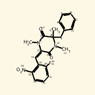 CN1C(=O)C(C)(Cc2ccccc2)N(C)C(=O)C1=Cc1c(F)cccc1[N+](=O)[O-]